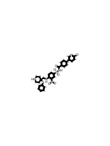 O=C(NS(=O)(=O)c1ccc(NCC2(Sc3ccccc3)CCNCC2)c([N+](=O)[O-])c1)c1ccc(-c2ccc(Cl)nc2)cc1